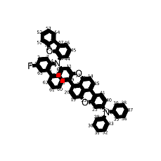 Fc1ccc(N(c2ccc3c(c2)Oc2ccc4c5c(ccc-3c25)Oc2cc(N(C3=CCCC=C3)c3ccccc3)ccc2-4)c2cccc3c2oc2ccccc23)c(-c2ccccc2)c1